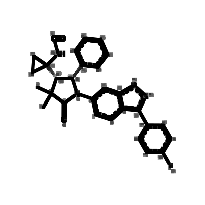 CC1(C)C(=O)N(c2ccc3c(-c4ccc(F)cc4)noc3c2)[C@@H](c2ccccc2)[C@H]1C1(NC=O)CC1